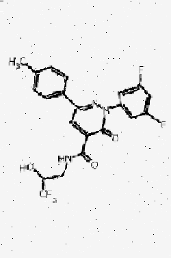 Cc1ccc(-c2cc(C(=O)NCC(O)C(F)(F)F)c(=O)n(-c3cc(F)cc(F)c3)n2)cc1